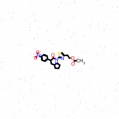 CC(=O)OCCc1csc(NC(=O)C(CC2CCCC2)c2ccc([N+](=O)[O-])cc2)n1